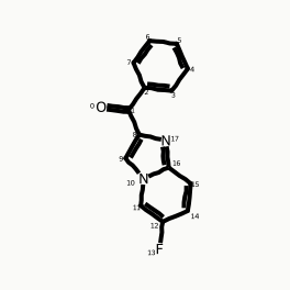 O=C(c1ccccc1)c1cn2cc(F)ccc2n1